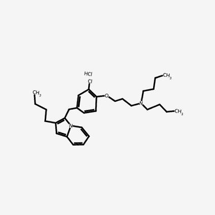 CCCCc1cc2ccccn2c1Cc1ccc(OCCCN(CCCC)CCCC)c(Cl)c1.Cl